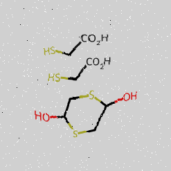 O=C(O)CS.O=C(O)CS.OC1CSC(O)CS1